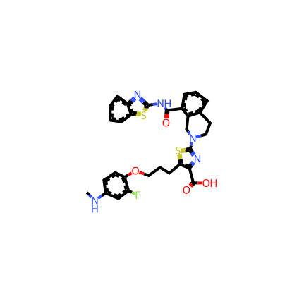 CNc1ccc(OCCCc2sc(N3CCc4cccc(C(=O)Nc5nc6ccccc6s5)c4C3)nc2C(=O)O)c(F)c1